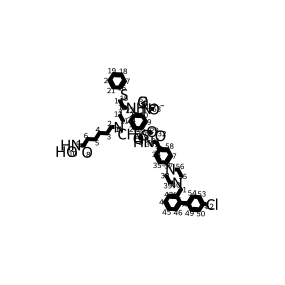 CN(CCCCCC(=O)NO)CC[C@H](CSc1ccccc1)Nc1ccc(S(=O)(=O)NC(=O)c2ccc(N3CCN(Cc4ccccc4-c4ccc(Cl)cc4)CC3)cc2)cc1[N+](=O)[O-]